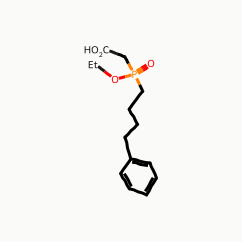 CCOP(=O)(CCCCc1ccccc1)CC(=O)O